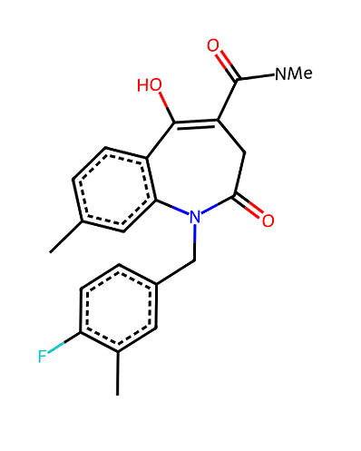 CNC(=O)C1=C(O)c2ccc(C)cc2N(Cc2ccc(F)c(C)c2)C(=O)C1